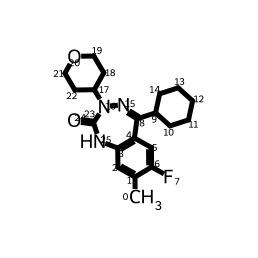 Cc1cc2c(cc1F)C(C1CCCCC1)=NN(C1CCOCC1)C(=O)N2